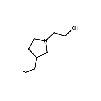 OCCN1CCC(CF)C1